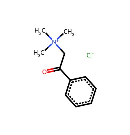 C[N+](C)(C)CC(=O)c1ccccc1.[Cl-]